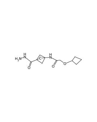 NNC(=O)C12CC(NC(=O)COC3CCC3)(C1)C2